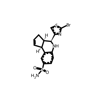 NS(=O)(=O)c1ccc2c(c1)[C@H]1C=CC[C@H]1[C@@H](c1csc(Br)n1)N2